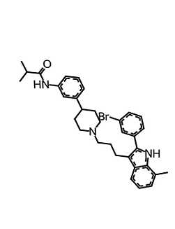 Cc1cccc2c(CCCN3CCC(c4cccc(NC(=O)C(C)C)c4)CC3)c(-c3cccc(Br)c3)[nH]c12